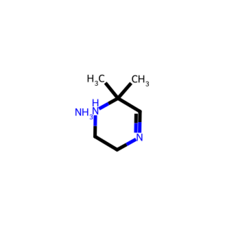 CC1(C)C=NCCN1.N